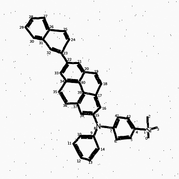 C[Si](C)(C)c1ccc(N(c2ccccc2)c2cc3ccc4cc(-c5ccc6ccccc6c5)cc5ccc(c2)c3c45)cc1